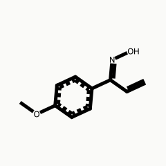 C=CC(=NO)c1ccc(OC)cc1